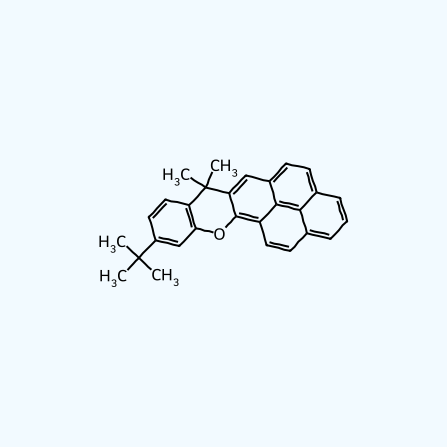 CC(C)(C)c1ccc2c(c1)Oc1c(cc3ccc4cccc5ccc1c3c45)C2(C)C